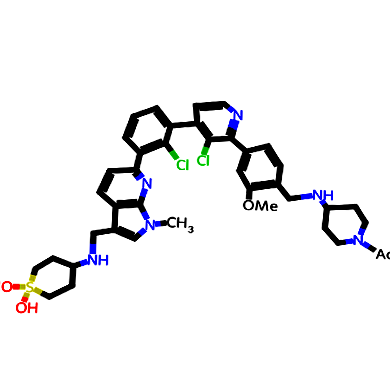 COc1cc(-c2nccc(-c3cccc(-c4ccc5c(CNC6CCS(O)(O)CC6)cn(C)c5n4)c3Cl)c2Cl)ccc1CNC1CCN(C(C)=O)CC1